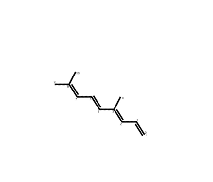 [CH]=C/C=C(C)/C=C/C=C(C)C